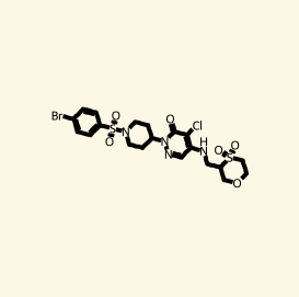 O=c1c(Cl)c(NCC2COCCS2(=O)=O)cnn1C1CCN(S(=O)(=O)c2ccc(Br)cc2)CC1